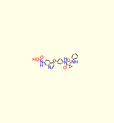 O=C(O)Nc1ccc2c(Oc3ccc(NC(=O)C4(C(=O)Nc5ccccc5)CC4)cc3)ccnc2c1